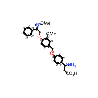 CO/N=C(\COc1ccc(COc2ccc(C(N)CC(=O)O)cc2)cc1OC)c1ccccc1